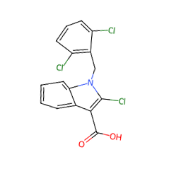 O=C(O)c1c(Cl)n(Cc2c(Cl)cccc2Cl)c2ccccc12